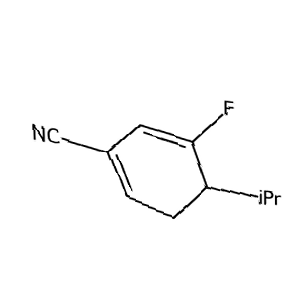 CC(C)C1CC=C(C#N)C=C1F